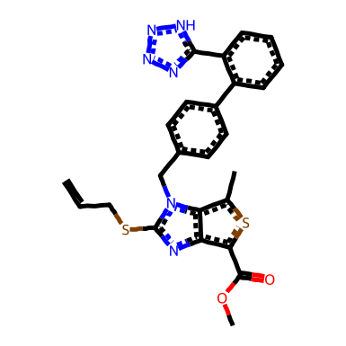 C=CCSc1nc2c(C(=O)OC)sc(C)c2n1Cc1ccc(-c2ccccc2-c2nnn[nH]2)cc1